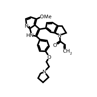 C=CC(=O)N1CCc2ccc(-c3c(-c4ccc(OCCN5CCCC5)cc4)[nH]c4nccc(OC)c34)cc21